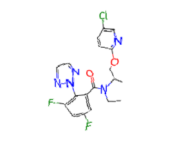 CCN(C(=O)c1cc(F)cc(F)c1-n1nccn1)C(C)COc1ccc(Cl)cn1